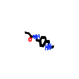 CCC(=O)NCc1ccc(CNC)cc1